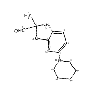 CC(C)(C=O)Oc1cccc(N2CCCCC2)c1